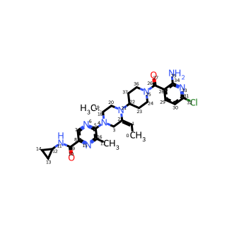 C/C=C1\CN(c2ncc(C(=O)NC3CC3)nc2C)[C@H](C)CN1C1CCN(C(=O)c2ccc(Cl)nc2N)CC1